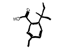 CCC(C)(C)c1ccc(C)cc1C(=O)O